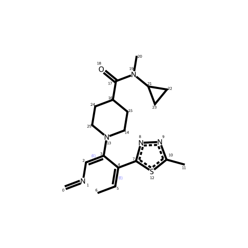 C=N/C=C(\C(=C/C)c1nnc(C)s1)N1CCC(C(=O)N(C)C2CC2)CC1